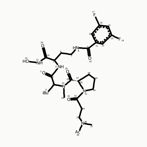 CCC(C)C(C(=O)NC(CCNC(=O)c1cc(F)cc(F)c1)C(=O)NO)N(C)C(=O)[C@@H]1CCCN1C(=O)CCN(C)C(C)=O